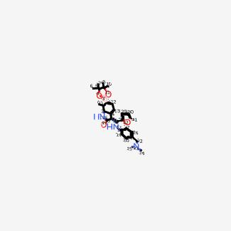 CC1C(B2OC(C)(C)C(C)(C)O2)=CC=C2/C(=C(/Nc3ccc(CN(C)C)cc3)c3ccco3)C(=O)NC21